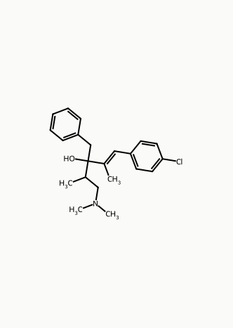 CC(=Cc1ccc(Cl)cc1)C(O)(Cc1ccccc1)C(C)CN(C)C